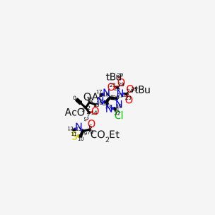 C#C[C@@]1(OC(C)=O)[C@@H](COC(C(=O)OCC)c2cscn2)O[C@@H](n2cnc3c(N(C(=O)OC(C)(C)C)C(=O)OC(C)(C)C)nc(Cl)nc32)[C@@H]1OC(C)=O